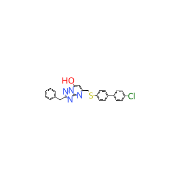 Oc1cc(CSc2ccc(-c3ccc(Cl)cc3)cc2)nc2nc(Cc3ccccc3)nn12